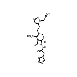 C#CCn1nnnc1SCC1=C(C(=O)O)N2C(=O)C(NC(=O)Cn3cnnn3)[C@@H]2SC1